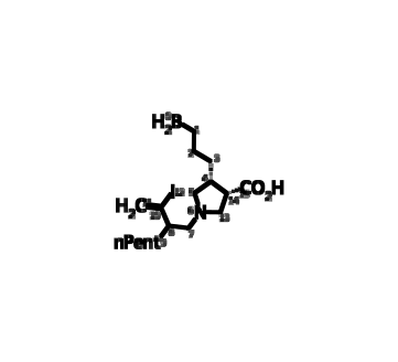 BCCC[C@H]1CN(CC(CCCCC)C(=C)I)C[C@H]1C(=O)O